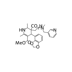 COC(=O)C1=C(C)NC(C)C(CCN(C)Cc2cccnc2)(C(=O)O)C1c1cccc2c1OCO2